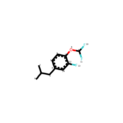 CC(C)Cc1ccc(OC(F)F)c(F)c1